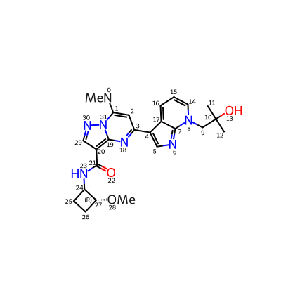 CNc1cc(-c2cnc3n(CC(C)(C)O)cccc2-3)nc2c(C(=O)NC3CC[C@H]3OC)cnn12